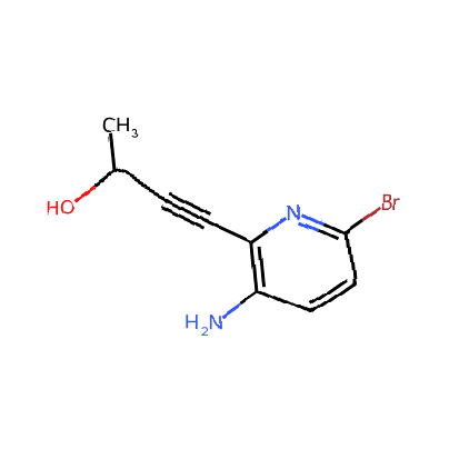 CC(O)C#Cc1nc(Br)ccc1N